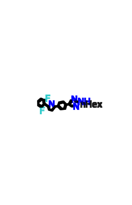 CCCCCCNc1ncc(-c2ccc(C3CCC(c4c(F)cccc4F)=N3)cc2)cn1